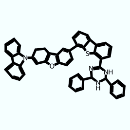 C1=C(n2c3ccccc3c3ccccc32)CCc2c1oc1ccc(-c3cccc4c3sc3c(C5=NC(c6ccccc6)NC(c6ccccc6)N5)cccc34)cc21